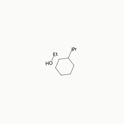 CC(C)C1CCCCC1.CCO